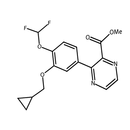 COC(=O)c1nccnc1-c1ccc(OC(F)F)c(OCC2CC2)c1